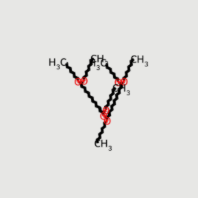 CCCCCCCCOC(C=CCCCCCCCCCC(OCCCCCCCC)OCCCCCCCC)OC(C=CCCCCCCCCCC(OCCCCCCCC)OCCCCCCCC)OCCCCCCCC